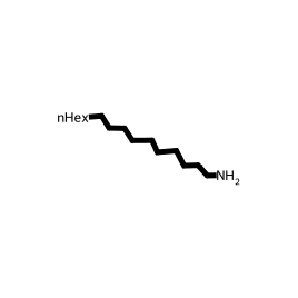 CCCCCCCCCCCCCC[CH]CN